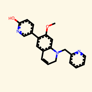 COc1cc2c(cc1-c1ccc(O)nc1)C=CCN2Cc1ccccn1